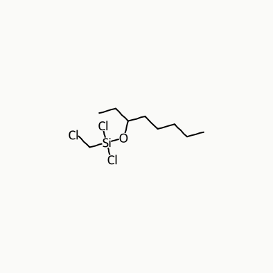 CCCCCC(CC)O[Si](Cl)(Cl)CCl